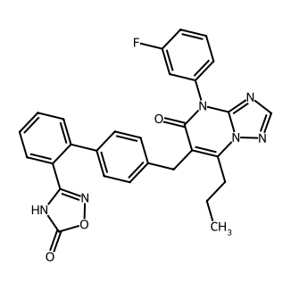 CCCc1c(Cc2ccc(-c3ccccc3-c3noc(=O)[nH]3)cc2)c(=O)n(-c2cccc(F)c2)c2ncnn12